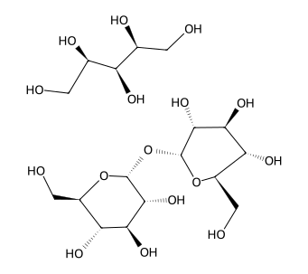 OC[C@@H](O)[C@H](O)[C@@H](O)CO.OC[C@H]1O[C@H](O[C@H]2O[C@H](CO)[C@@H](O)[C@H](O)[C@H]2O)[C@H](O)[C@@H](O)[C@@H]1O